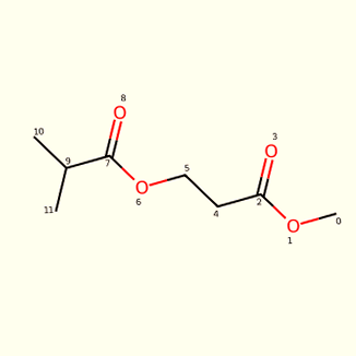 COC(=O)CCOC(=O)C(C)C